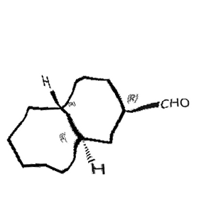 O=C[C@@H]1CC[C@H]2CCCC[C@@H]2C1